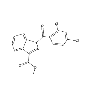 COC(=O)C1=NC(C(=O)c2ccc(Cl)cc2Cl)c2ccccc21